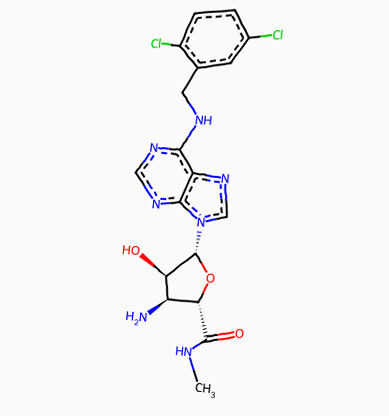 CNC(=O)[C@H]1O[C@@H](n2cnc3c(NCc4cc(Cl)ccc4Cl)ncnc32)[C@H](O)[C@@H]1N